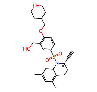 C#C[C@H]1CCc2c(C)cc(C)cc2N1S(=O)(=O)c1ccc(OCC2CCOCC2)c(CO)c1